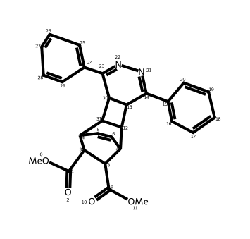 COC(=O)C1C2C=CC(C1C(=O)OC)C1C3C(c4ccccc4)=NN=C(c4ccccc4)C3C21